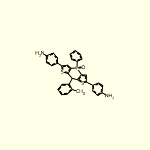 Cc1ccccc1C1c2sc(-c3ccc(N)cc3)cc2P(=O)(c2ccccc2)c2cc(-c3ccc(N)cc3)sc21